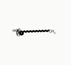 CCCCCCCCCCCCCCCCCCc1ccc(OI)c(S(=O)(=O)O)c1